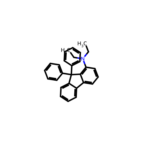 CCN(CC)c1cccc2c1C(c1ccccc1)(c1ccccc1)c1ccccc1-2